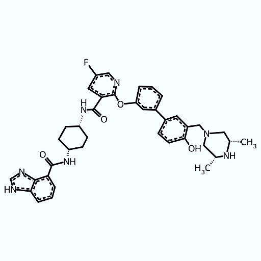 C[C@@H]1CN(Cc2cc(-c3cccc(Oc4ncc(F)cc4C(=O)N[C@H]4CC[C@@H](NC(=O)c5cccc6[nH]cnc56)CC4)c3)ccc2O)C[C@H](C)N1